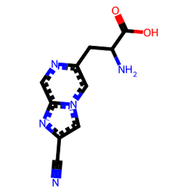 N#Cc1cn2cc(CC(N)C(=O)O)ncc2n1